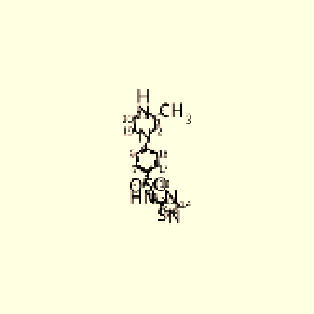 C[C@@H]1CN(c2ccc(S(=O)(=O)Nc3ncns3)cc2)CCN1